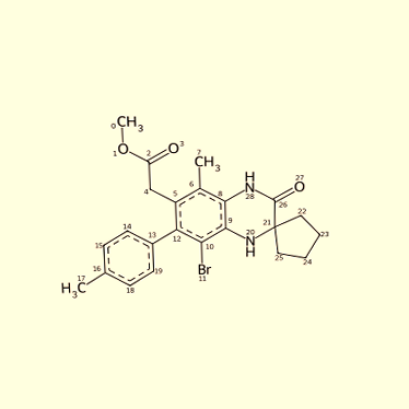 COC(=O)Cc1c(C)c2c(c(Br)c1-c1ccc(C)cc1)NC1(CCCC1)C(=O)N2